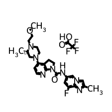 COCCN1CCN(c2ccnc3c2CCN3C(=O)Nc2cc(F)c3nc(C)cn3c2)C[C@@H]1C.O=C(O)C(F)(F)F